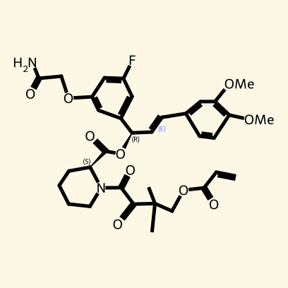 C=CC(=O)OCC(C)(C)C(=O)C(=O)N1CCCC[C@H]1C(=O)O[C@H](/C=C/c1ccc(OC)c(OC)c1)c1cc(F)cc(OCC(N)=O)c1